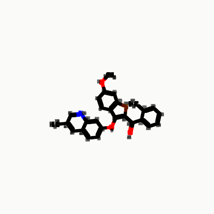 COc1ccc2c(Oc3ccc4cc(C)cnc4c3)c(C(=O)c3ccccc3C)sc2c1